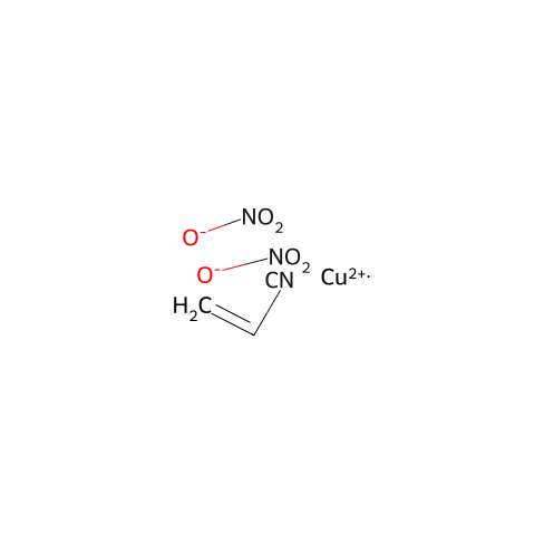 C=CC#N.O=[N+]([O-])[O-].O=[N+]([O-])[O-].[Cu+2]